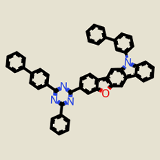 c1ccc(-c2ccc(-c3nc(-c4ccccc4)nc(-c4ccc5c(c4)oc4cc6c7ccccc7n(-c7cccc(-c8ccccc8)c7)c6cc45)n3)cc2)cc1